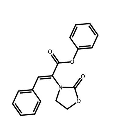 O=C(Oc1ccccc1)C(=Cc1ccccc1)N1CCOC1=O